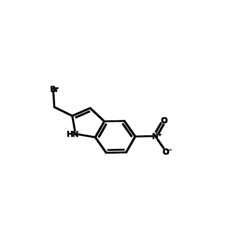 O=[N+]([O-])c1ccc2[nH]c(CBr)cc2c1